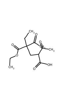 CCOC(=O)C(CC)(CC(C(C)=O)C(=O)O)C(C)=O